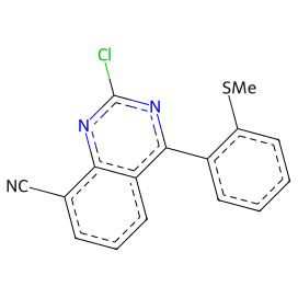 CSc1ccccc1-c1nc(Cl)nc2c(C#N)cccc12